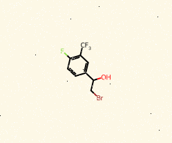 OC(CBr)c1ccc(F)c(C(F)(F)F)c1